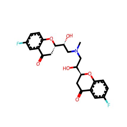 CN(CC(O)[C@@H]1CC(=O)c2cc(F)ccc2O1)C[C@@H](O)[C@@H]1CC(=O)c2cc(F)ccc2O1